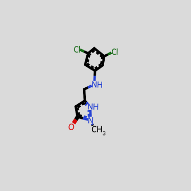 Cn1[nH]c(CNc2cc(Cl)cc(Cl)c2)cc1=O